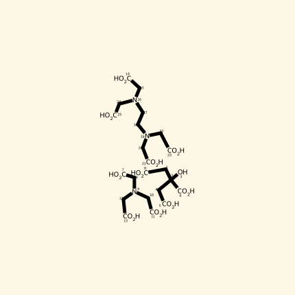 O=C(O)CC(O)(CC(=O)O)C(=O)O.O=C(O)CN(CC(=O)O)CC(=O)O.O=C(O)CN(CCN(CC(=O)O)CC(=O)O)CC(=O)O